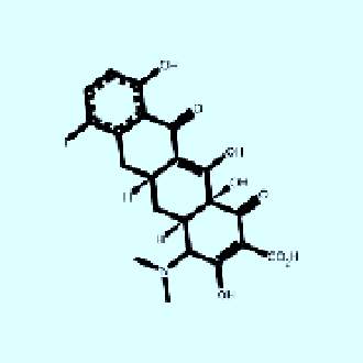 CN(C)C1C(O)=C(C(=O)O)C(=O)[C@@]2(O)C(O)=C3C(=O)c4c(O)ccc(I)c4C[C@H]3C[C@@H]12